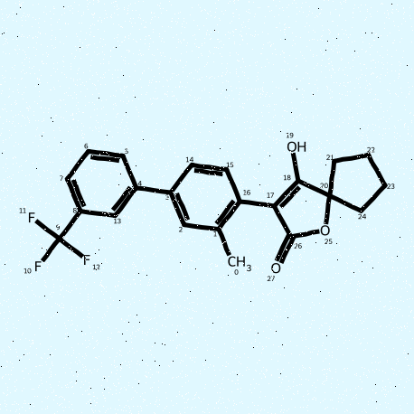 Cc1cc(-c2cccc(C(F)(F)F)c2)ccc1C1=C(O)C2(CCCC2)OC1=O